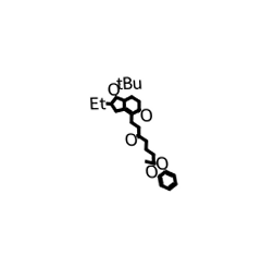 CCC1CC2=C(CCC(=O)CCCC3(C)Oc4ccccc4O3)C(=O)CCC2[C@H]1OC(C)(C)C